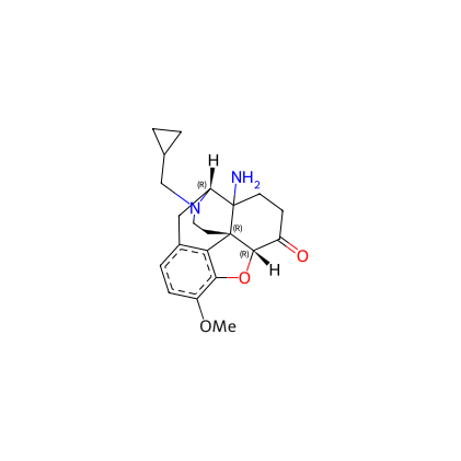 COc1ccc2c3c1O[C@H]1C(=O)CCC4(N)[C@@H](C2)N(CC2CC2)CC[C@]314